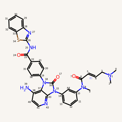 CN(C)C/C=C/C(=O)N(C)c1cccc(-n2c(=O)n(-c3ccc(C(=O)Nc4nc5ccccc5s4)cc3)c3c(N)ccnc32)c1